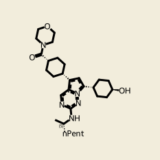 CCCCC[C@H](C)Nc1ncc2c([C@H]3CC[C@@H](C(=O)N4CCOCC4)CC3)cc([C@H]3CC[C@H](O)CC3)n2n1